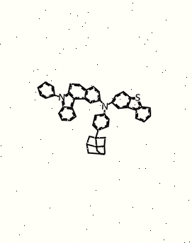 c1ccc(-n2c3ccccc3c3c4cc(N(c5ccc(C67CC8CC9CCC86C9C7)cc5)c5ccc6sc7ccccc7c6c5)ccc4ccc32)cc1